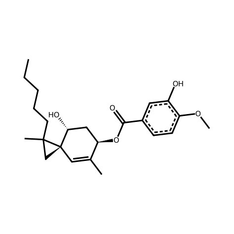 CCCCCC1(C)C[C@@]12C=C(C)[C@H](OC(=O)c1ccc(OC)c(O)c1)C[C@H]2O